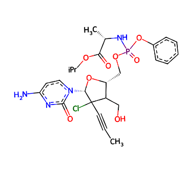 CC#CC1(Cl)C(CO)[C@@H](COP(=O)(N[C@@H](C)C(=O)OC(C)C)Oc2ccccc2)O[C@H]1n1ccc(N)nc1=O